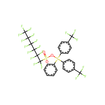 O=S(=O)(OS(c1ccccc1)(c1ccc(C(F)(F)F)cc1)c1ccc(C(F)(F)F)cc1)C(F)(F)C(F)(F)C(F)(F)C(F)(F)C(F)(F)C(F)(F)F